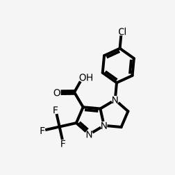 O=C(O)c1c(C(F)(F)F)nn2c1N(c1ccc(Cl)cc1)CC2